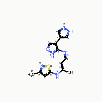 C/C(=C\C=N/c1[nH]ncc1-c1cn[nH]c1)Nc1cc(C)ns1